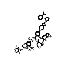 CC(C)c1ccccc1[C@@H]1CCCN1C1CC2(CCN(c3ccc(C(=O)NS(=O)(=O)c4cc5c(c([N+](=O)[O-])c4)N[C@H](CN4C[C@@H]6C[C@H]4CO6)CO5)c(N4C[C@@H]5CCOC[C@@H]5Oc5nc6[nH]ccc6cc54)c3)CC2)C1